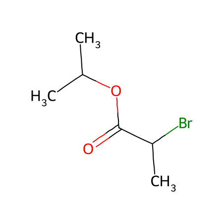 CC(C)OC(=O)C(C)Br